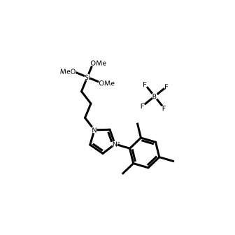 CO[Si](CCCn1cc[n+](-c2c(C)cc(C)cc2C)c1)(OC)OC.F[B-](F)(F)F